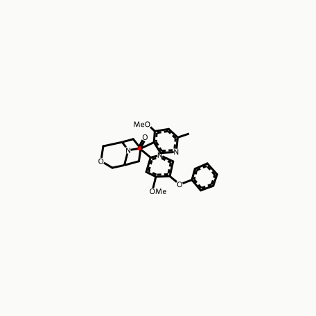 COc1cc(C(=O)N2C3COCC2CC(c2cnc(C)cc2OC)C3)ncc1Oc1ccccc1